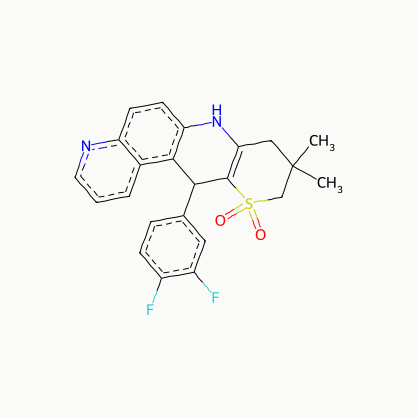 CC1(C)CC2=C(C(c3ccc(F)c(F)c3)c3c(ccc4ncccc34)N2)S(=O)(=O)C1